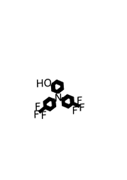 Oc1cccc(N(c2ccc(C(F)(F)F)cc2)c2ccc(C(F)(F)F)cc2)c1